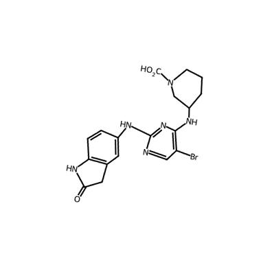 O=C1Cc2cc(Nc3ncc(Br)c(NC4CCCN(C(=O)O)C4)n3)ccc2N1